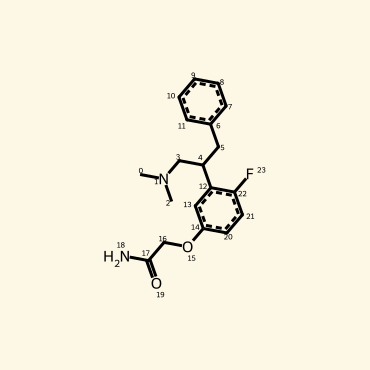 CN(C)CC(Cc1ccccc1)c1cc(OCC(N)=O)ccc1F